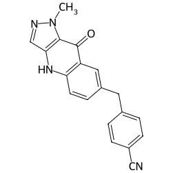 Cn1ncc2[nH]c3ccc(Cc4ccc(C#N)cc4)cc3c(=O)c21